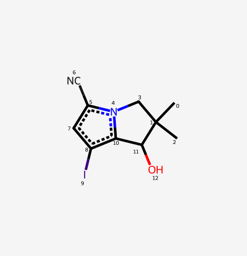 CC1(C)Cn2c(C#N)cc(I)c2C1O